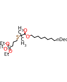 CCCCCCCCCCCCCCCCCCOC(=O)C(C)(C)SCCC[Si](OCC)(OCC)OCC